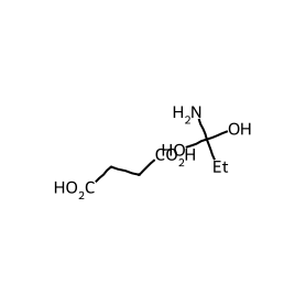 CCC(N)(O)O.O=C(O)CCC(=O)O